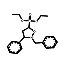 CCOP(=O)(OCC)C1CC(c2ccccc2)N(Cc2ccccc2)O1